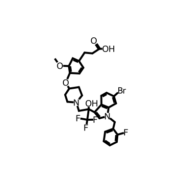 COc1cc(CCC(=O)O)ccc1OC1CCN(CC(O)(c2cn(Cc3ccccc3F)c3cc(Br)ccc23)C(F)(F)F)CC1